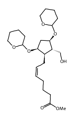 COC(=O)CCC/C=C\C[C@@H]1[C@@H](CO)[C@H](OC2CCCCO2)C[C@@H]1OC1CCCCO1